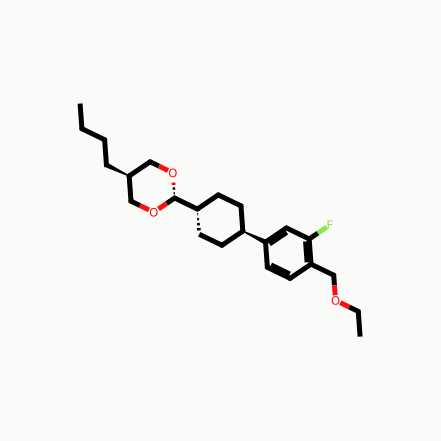 CCCC[C@H]1CO[C@H]([C@H]2CC[C@H](c3ccc(COCC)c(F)c3)CC2)OC1